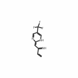 C=CC(=N)/C=C1/N=CC(C(F)(F)F)=CN1